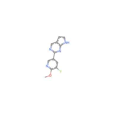 COc1ncc(-c2ncc3cc[nH]c3n2)cc1F